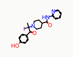 CC(I)(C(=O)c1ccc(O)cc1)N1CCC(C(=O)Nc2ccccn2)CC1